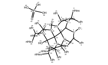 CCCCCCC(CCC)[S+]([O-])C([S+]([O-])C(CCC)CCCCCC)C([S+]([O-])C(CCC)CCCCCC)([S+]([O-])C(CCC)CCCCCC)C([S+]([O-])C(CCC)CCCCCC)([S+]([O-])C(CCC)CCCCCC)C(O)([S+]([O-])C(CCC)CCCCCC)[S+]([O-])C(CCC)CCCCCC.O=P(O)(O)O